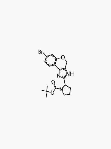 CC(C)(C)OC(=O)N1CCCC1c1nc2c([nH]1)COc1cc(Br)ccc1-2